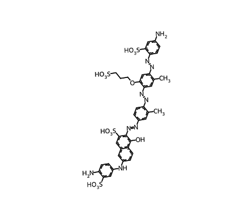 Cc1cc(N=Nc2c(S(=O)(=O)O)cc3cc(Nc4ccc(N)c(S(=O)(=O)O)c4)ccc3c2O)ccc1N=Nc1cc(C)c(N=Nc2ccc(N)cc2S(=O)(=O)O)cc1OCCCS(=O)(=O)O